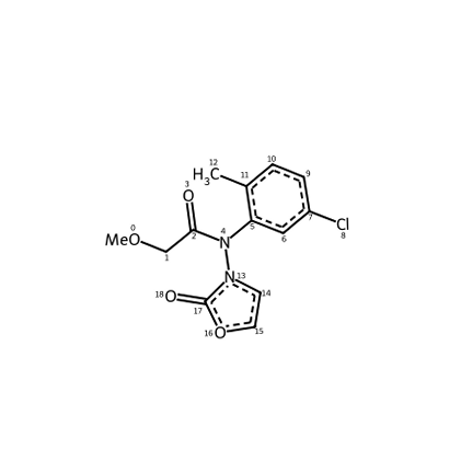 COCC(=O)N(c1cc(Cl)ccc1C)n1ccoc1=O